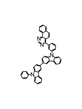 c1ccc(-n2c3ccccc3c3cc(-c4ccc5c(c4)c4ccccc4n5-c4cccc(-c5ncnc6c5ccc5ccccc56)c4)ccc32)cc1